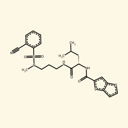 CC(C)C[C@H](NC(=O)c1cc2sccc2s1)C(=O)NCCCN(C)S(=O)(=O)c1ccccc1C#N